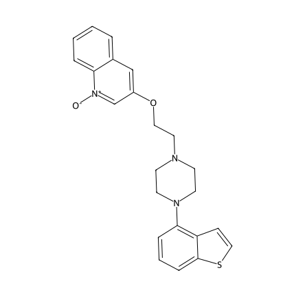 [O-][n+]1cc(OCCN2CCN(c3cccc4sccc34)CC2)cc2ccccc21